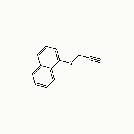 C#CCSc1cccc2ccccc12